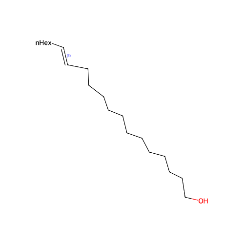 CCCCCC/C=C/CCCCCCCCCCCCO